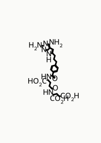 Nc1nc(N)c2cc(CCCc3ccc(C(=O)N[C@@H](CCC(=O)N[C@@H](CCC(=O)O)C(=O)O)C(=O)O)cc3)[nH]c2n1